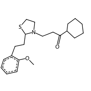 COc1ccccc1CCC1SCCN1CCC(=O)C1CCCCC1